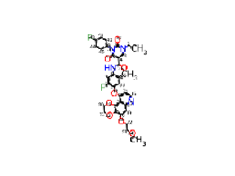 CCn1cc(C(=O)Nc2cc(F)c(Oc3ccnc4cc(OCCOC)c5c(c34)OCCO5)cc2C)c(=O)n(-c2ccc(F)cc2)c1=O